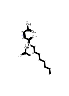 CC(=O)O.CCCCCCCCOC(=O)/C=C\C(=O)O